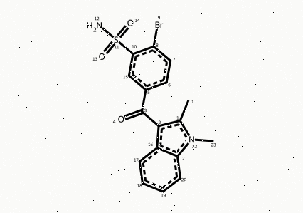 Cc1c(C(=O)c2ccc(Br)c(S(N)(=O)=O)c2)c2ccccc2n1C